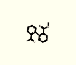 COC(=O)c1ccccc1-c1ccccc1C(C)=O